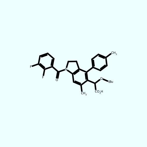 Cc1ccc(-c2c3c(cc(C)c2C(OC(C)(C)C)C(=O)O)N(C(=O)c2cccc(F)c2F)CC3)cc1